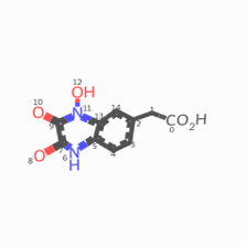 O=C(O)Cc1ccc2[nH]c(=O)c(=O)n(O)c2c1